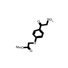 COC(=O)COc1ccc(C(=O)C[N+](=O)[O-])cc1